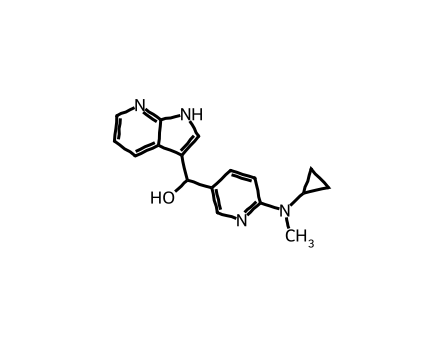 CN(c1ccc(C(O)c2c[nH]c3ncccc23)cn1)C1CC1